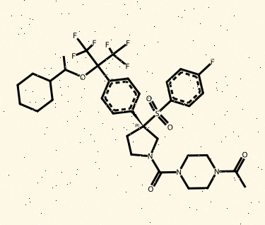 CC(=O)N1CCN(C(=O)N2CC[C@](c3ccc(C(OC(C)C4CCCCC4)(C(F)(F)F)C(F)(F)F)cc3)(S(=O)(=O)c3ccc(F)cc3)C2)CC1